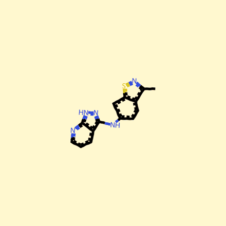 Cc1nsc2cc(Nc3n[nH]c4ncccc34)ccc12